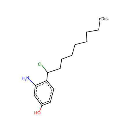 CCCCCCCCCCCCCCCCCC(Cl)c1ccc(O)cc1N